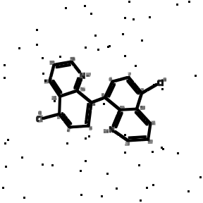 Clc1ccc(-c2ccc(Cl)c3cccnc23)c2ncccc12